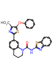 O=C(O)c1nc(-c2ccc3c(c2)N(C(=O)Nc2nc4ccccc4s2)CCC3)sc1Oc1ccccc1